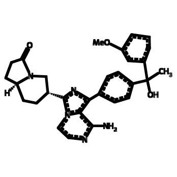 COc1cccc(C(C)(O)c2ccc(-c3nc([C@@H]4CC[C@H]5CCC(=O)N5C4)n4ccnc(N)c34)cc2)c1